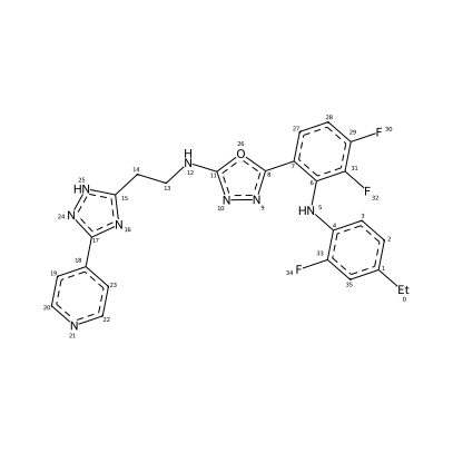 CCc1ccc(Nc2c(-c3nnc(NCCc4nc(-c5ccncc5)n[nH]4)o3)ccc(F)c2F)c(F)c1